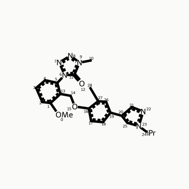 COc1cccc(-n2nnn(C)c2=O)c1COc1ccc(-c2cnn(C(C)C)c2)cc1C